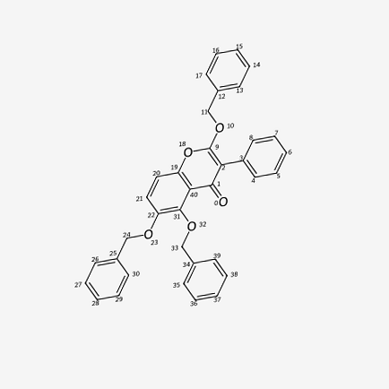 O=c1c(-c2ccccc2)c(OCc2ccccc2)oc2ccc(OCc3ccccc3)c(OCc3ccccc3)c12